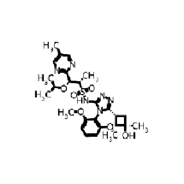 COc1cccc(OC)c1-n1c(NS(=O)(=O)[C@@H](C)[C@@H](OC(C)C)c2ncc(C)cn2)nnc1[C@H]1C[C@](C)(O)C1